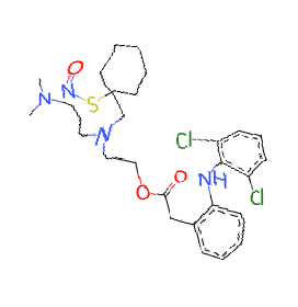 CN(C)CCN(CCOC(=O)Cc1ccccc1Nc1c(Cl)cccc1Cl)CC1(SN=O)CCCCC1